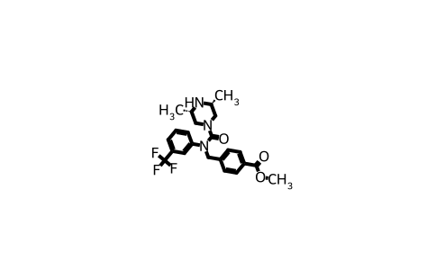 COC(=O)c1ccc(CN(C(=O)N2C[C@@H](C)N[C@@H](C)C2)c2cccc(C(F)(F)F)c2)cc1